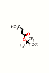 CCCCCCCCC(OC(=O)/C=C/C(=O)O)(C(F)(F)F)C(F)(F)F